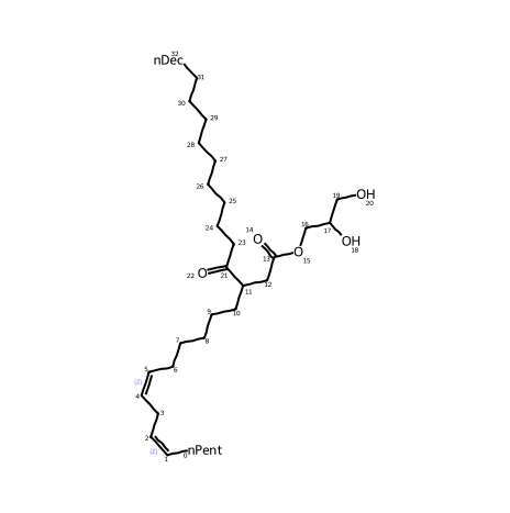 CCCCC/C=C\C/C=C\CCCCCC(CC(=O)OCC(O)CO)C(=O)CCCCCCCCCCCCCCCCCCC